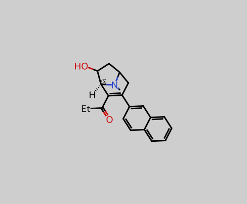 CCC(=O)C1=C(c2ccc3ccccc3c2)CC2CC(O)[C@H]1N2C